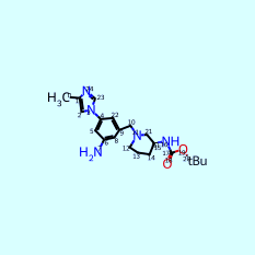 Cc1cn(-c2cc(N)cc(CN3CCC[C@H](NC(=O)OC(C)(C)C)C3)c2)cn1